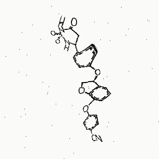 N#Cc1ccc(Oc2cccc3c2OC[C@H]3Oc2ccc(C3CC(=O)NS(=O)(=O)N3)cc2)cc1